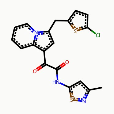 Cc1cc(NC(=O)C(=O)c2cc(Cc3ccc(Cl)s3)n3ccccc23)sn1